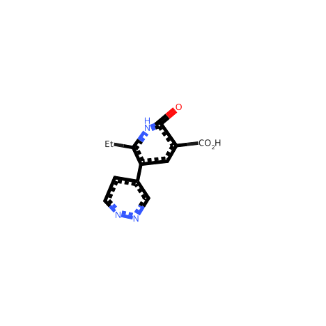 CCc1[nH]c(=O)c(C(=O)O)cc1-c1ccnnc1